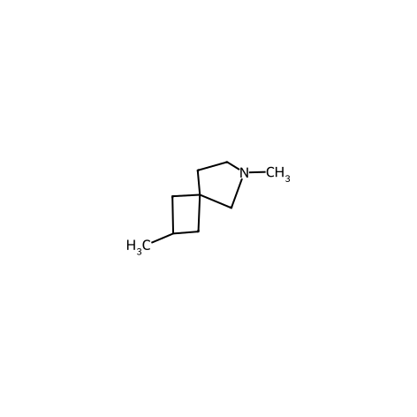 CC1CC2(CCN(C)C2)C1